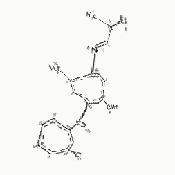 CCN(C)/C=N/c1cc(OC)c(Oc2ccccc2Cl)cc1C